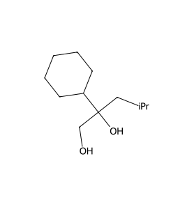 CC(C)CC(O)(CO)C1CCCCC1